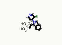 O=C(O)C=C(C(=O)O)C1c2ccccc2CN1c1ccncc1F